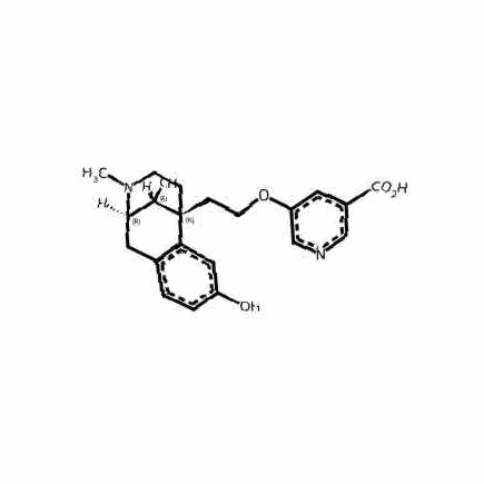 C[C@H]1[C@H]2Cc3ccc(O)cc3[C@@]1(CCOc1cncc(C(=O)O)c1)CCN2C